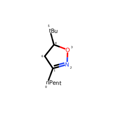 CCCCCC1=NOC(C(C)(C)C)C1